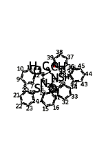 CC1(C)C(=O)N([Si](c2ccccc2)(c2ccccc2)c2ccccc2)C(=O)N1[Si](c1ccccc1)(c1ccccc1)c1ccccc1